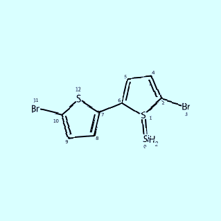 [SiH2]=S1C(Br)=CC=C1c1ccc(Br)s1